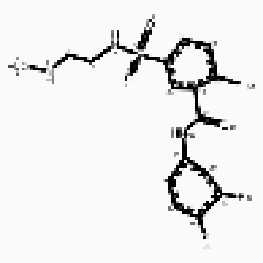 CNCCNS(=O)(=O)c1ccc(F)c(C(=O)Nc2ccc(F)c(F)c2)c1